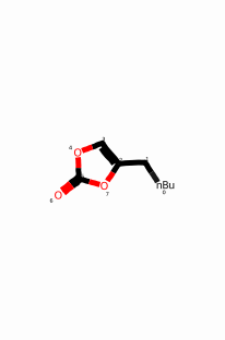 CCCCCc1[c]oc(=O)o1